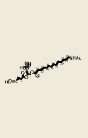 CCCCCCCCCCCCC(=O)O[C@H](COC(=O)CCCCCCCCCCCCCNC(C)=O)COP(=O)(O)O